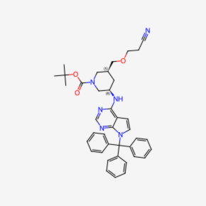 CC(C)(C)OC(=O)N1C[C@@H](COCCC#N)C[C@@H](Nc2ncnc3c2ccn3C(c2ccccc2)(c2ccccc2)c2ccccc2)C1